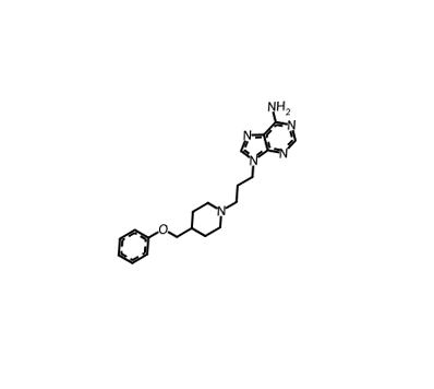 Nc1ncnc2c1ncn2CCCN1CCC(COc2ccccc2)CC1